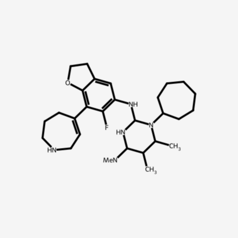 CNC1NC(Nc2cc3c(c(C4=CCNCCC4)c2F)OCC3)N(C2CCCCCC2)C(C)C1C